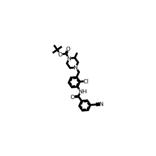 CC1CN(Cc2cccc(NC(=O)c3cccc(C#N)c3)c2Cl)CCN1C(=O)OC(C)(C)C